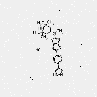 CN(c1nc2sc(-c3ccc(-c4cn[nH]c4)cn3)nc2s1)C1CC(C)(C)NC(C)(C)C1.Cl